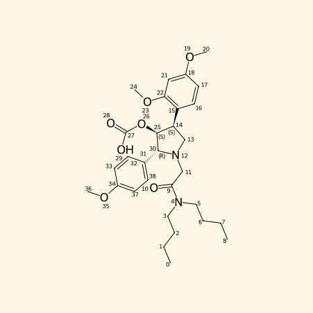 CCCCN(CCCC)C(=O)CN1C[C@H](c2ccc(OC)cc2OC)[C@H](OC(=O)O)[C@H]1c1ccc(OC)cc1